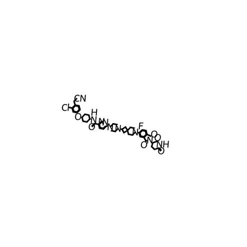 N#CCc1ccc(O[C@H]2CC[C@H](NC(=O)c3ccc(N4CCN(C5CC6(CCN(c7cc8c(cc7F)C(=O)N(C7CCC(=O)NC7=O)C8=O)CC6)C5)CC4)nn3)CC2)cc1Cl